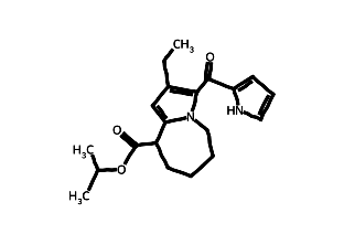 CCc1cc2n(c1C(=O)c1ccc[nH]1)CCCCC2C(=O)OC(C)C